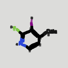 COc1ccnc(F)c1I